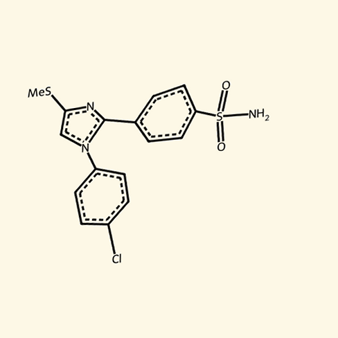 CSc1cn(-c2ccc(Cl)cc2)c(-c2ccc(S(N)(=O)=O)cc2)n1